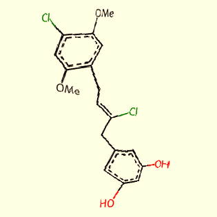 COc1cc(CC=C(Cl)Cc2cc(O)cc(O)c2)c(OC)cc1Cl